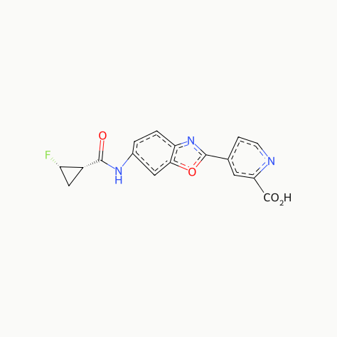 O=C(O)c1cc(-c2nc3ccc(NC(=O)[C@@H]4C[C@@H]4F)cc3o2)ccn1